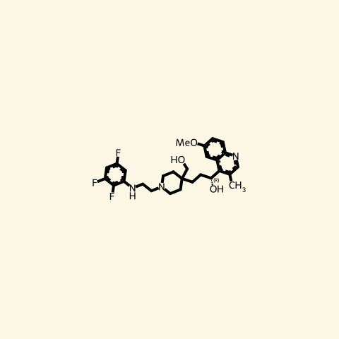 COc1ccc2ncc(C)c([C@H](O)CCC3(CO)CCN(CCNc4cc(F)cc(F)c4F)CC3)c2c1